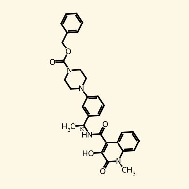 C[C@H](NC(=O)c1c(O)c(=O)n(C)c2ccccc12)c1cccc(N2CCN(C(=O)OCc3ccccc3)CC2)c1